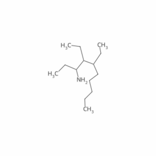 CCCCCC(CC)C(CC)C(N)CC